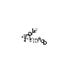 CC(C)NCCN(C(=O)CNCC(=O)N(C)N1Cc2ccccc2C1)c1cc(C#N)ccc1Cl.Cl.Cl